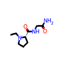 CCN1CCC[C@H]1C(=O)NCC(N)=O